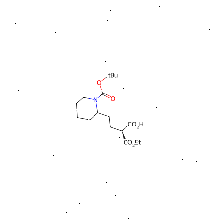 CCOC(=O)[C@@H](CCC1CCCCN1C(=O)OC(C)(C)C)C(=O)O